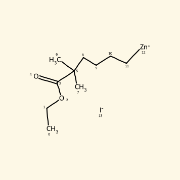 CCOC(=O)C(C)(C)CCC[CH2][Zn+].[I-]